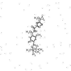 Cc1cc(B2OC(C)(C)C(C)(C)O2)c(F)cc1[C@@H](C)NC(=O)c1nc(C2(C)CC2)no1